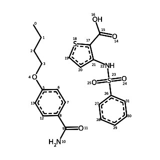 CCCCOc1ccc(C(N)=O)cc1.O=C(O)c1sccc1NS(=O)(=O)c1ccccc1